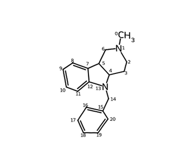 CN1CCC2C(C1)c1ccccc1N2Cc1ccccc1